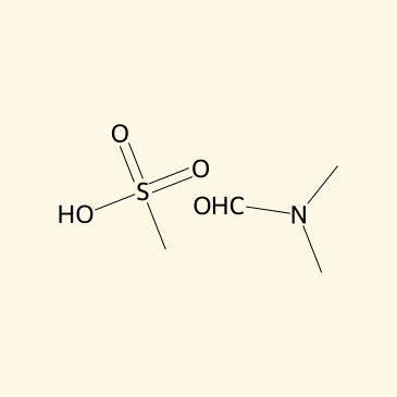 CN(C)C=O.CS(=O)(=O)O